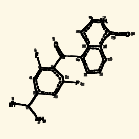 CCCC(N)c1cc(F)c(C(=O)c2cccc3c(=O)[nH]ccc23)c(F)c1